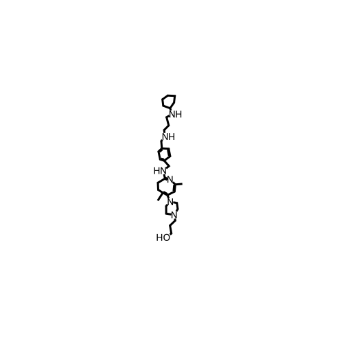 CC1=C/C(N2CCN(CCCO)CC2)=C(/C)CC/C(NCc2ccc(CNCCCNC3CCCCC3)cc2)=N\1